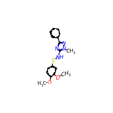 COc1ccc(SNc2nc(-c3ccccc3)nn2C)cc1OC